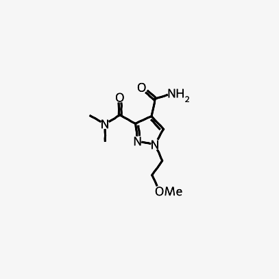 COCCn1cc(C(N)=O)c(C(=O)N(C)C)n1